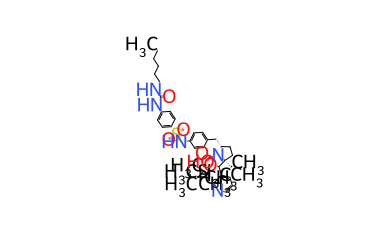 CCCCCCNC(=O)Nc1ccc(S(=O)(=O)Nc2ccc(C[C@@H]3CC[C@]([C@H](O[Si](C)(C)C(C)(C)C)c4cccnc4)(C(C)(C)C)N3C(=O)O)cc2)cc1